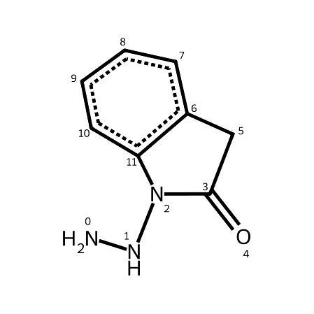 NNN1C(=O)Cc2ccccc21